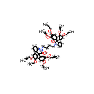 C#CCOc1ccc(C2(c3ccc(OCC#C)c(OCC#C)c3)C(=O)N(CCCCN3C(=O)C(c4ccc(OCC#C)c(OC#C)c4)(c4ccc(OCC#C)c(OCC#C)c4)c4ccccc43)c3ccccc32)cc1OC#C